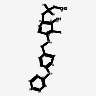 Cc1c(OCc2ccc(Sc3ccncc3)cc2)ccc(CC(C)(C)CC=O)c1O